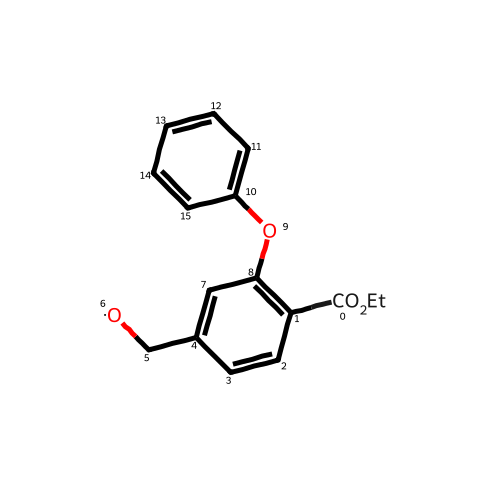 CCOC(=O)c1ccc(C[O])cc1Oc1ccccc1